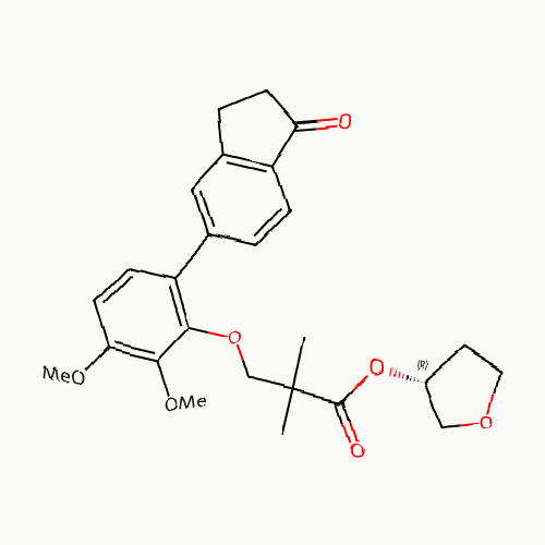 COc1ccc(-c2ccc3c(c2)CCC3=O)c(OCC(C)(C)C(=O)O[C@@H]2CCOC2)c1OC